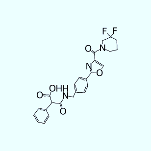 O=C(O)C(C(=O)NCc1ccc(-c2nc(C(=O)N3CCCC(F)(F)C3)co2)cc1)c1ccccc1